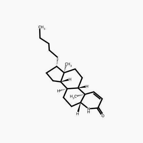 CCCCC[C@H]1CC[C@H]2[C@@H]3CC[C@H]4NC(=O)C=C[C@]4(C)[C@H]3CC[C@]12C